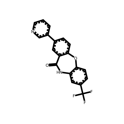 O=C1Nc2cc(C(F)(F)F)ccc2Oc2ccc(-c3cccnc3)cc21